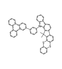 CC1(C)c2c(ccc3c2Sc2ccccc2S3)-c2ccc3c4ccccc4n(-c4cccc(-c5ccc6c7ccccc7c7ccccc7c6c5)c4)c3c21